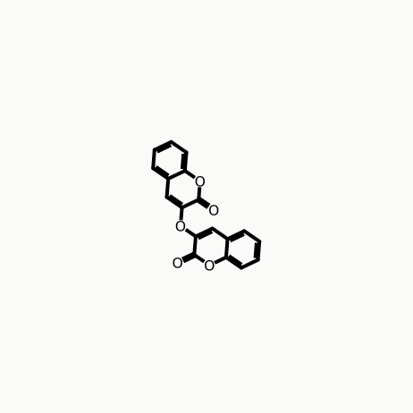 O=c1oc2ccccc2cc1Oc1cc2ccccc2oc1=O